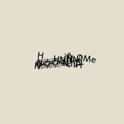 COC(=O)NC(C(=O)N1CCC[C@H]1c1ncc(-c2ccc(-c3ccc(-c4cnc[nH]4)cc3)cc2)[nH]1)C(C)C